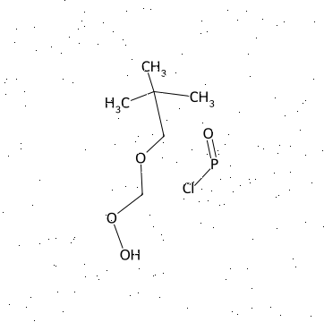 CC(C)(C)COCOO.O=PCl